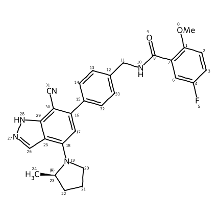 COc1ccc(F)cc1C(=O)NCc1ccc(-c2cc(N3CCC[C@H]3C)c3cn[nH]c3c2C#N)cc1